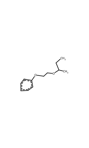 CCC(C)OCCOc1ccccc1